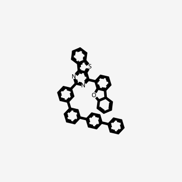 C1=CC2Oc3c(-c4nc(-c5cccc(-c6cccc(-c7ccc(-c8ccccc8)cc7)c6)c5)nc5c4sc4ccccc45)cccc3C2C=C1